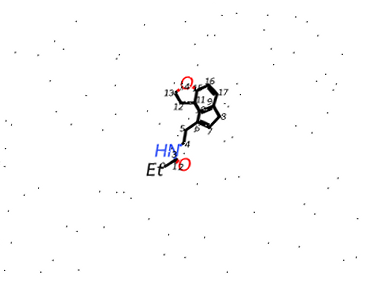 CCC(=O)NCCC1=CCC2=C1C1CCOC1C=C2